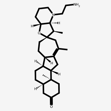 CC1=C2C[C@H]3[C@@H](CC[C@@H]4CC(=O)CC[C@@]43C)[C@@H]2CC[C@@]2(C1)O[C@@H]1CCCN(CCN)[C@H]1[C@H]2C